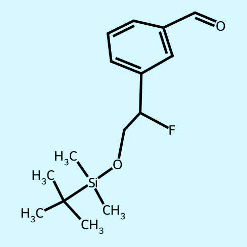 CC(C)(C)[Si](C)(C)OCC(F)c1cccc(C=O)c1